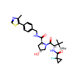 CSC(C)(C)[C@H](NC(=O)C1(F)CC1)C(=O)N1C[C@H](O)C[C@H]1C(=O)NCc1ccc(-c2scnc2C)cc1